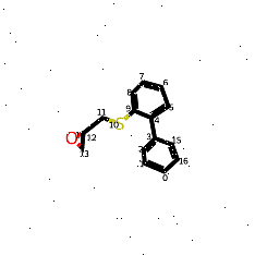 c1ccc(-c2ccccc2SCC2CO2)cc1